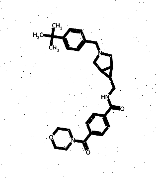 CC(C)(C)c1ccc(CN2CC3C(CNC(=O)c4ccc(C(=O)N5CCOCC5)cc4)C3C2)cc1